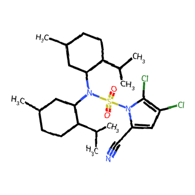 CC1CCC(C(C)C)C(N(C2CC(C)CCC2C(C)C)S(=O)(=O)n2c(C#N)cc(Cl)c2Cl)C1